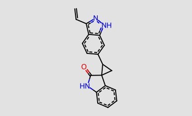 C=Cc1n[nH]c2cc(C3CC34C(=O)Nc3ccccc34)ccc12